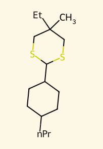 CCCC1CCC(C2SCC(C)(CC)CS2)CC1